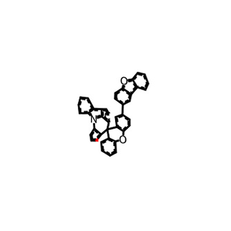 c1ccc2c(c1)Oc1ccc(-c3ccc4oc5ccccc5c4c3)cc1C21c2ccccc2-n2c3ccccc3c3cccc1c32